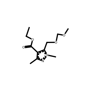 CCOC(=O)c1c(C)nn(C)c1COCOC